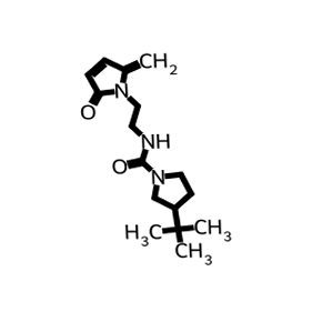 C=C1C=CC(=O)N1CCNC(=O)N1CCC(C(C)(C)C)C1